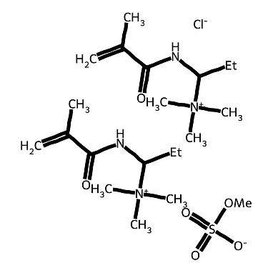 C=C(C)C(=O)NC(CC)[N+](C)(C)C.C=C(C)C(=O)NC(CC)[N+](C)(C)C.COS(=O)(=O)[O-].[Cl-]